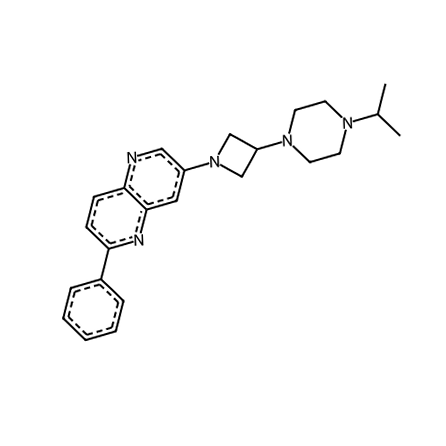 CC(C)N1CCN(C2CN(c3cnc4ccc(-c5ccccc5)nc4c3)C2)CC1